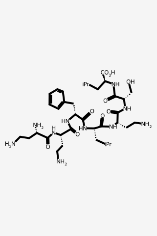 CC(C)C[C@H](NC(=O)[C@H](CO)NC(=O)[C@H](CCN)NC(=O)[C@H](CC(C)C)NC(=O)[C@@H](Cc1ccccc1)NC(=O)[C@H](CCN)NC(=O)[C@@H](N)CCN)C(=O)O